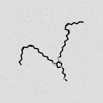 CCCCC/C=C\C/C=C\CCCCCCCCO[C@@H]1CN(CCCOC)C[C@H]1OCCCCCCCC/C=C\C/C=C\CCCCC